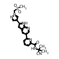 CC(C)(C#N)NC(=O)c1cccc(-c2cnc3[nH]c(-c4cnn(CS(C)(=O)=O)c4)cc3c2)n1